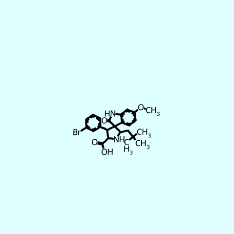 COc1ccc2c(c1)NC(=O)C21C(CC(C)(C)C)NC(C(=O)O)C1c1cccc(Br)c1